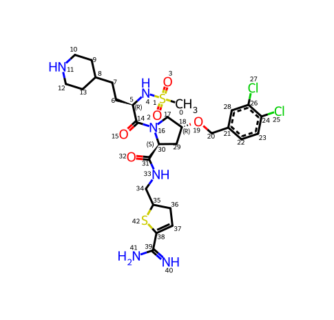 CS(=O)(=O)N[C@H](CCC1CCNCC1)C(=O)N1C[C@H](OCc2ccc(Cl)c(Cl)c2)C[C@H]1C(=O)NCC1CC=C(C(=N)N)S1